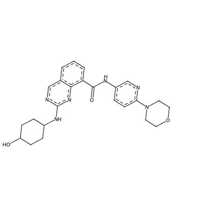 O=C(Nc1ccc(N2CCOCC2)nc1)c1cccc2cnc(NC3CCC(O)CC3)nc12